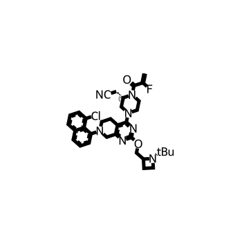 C=C(F)C(=O)N1CCN(c2nc(OCC3CCN3C(C)(C)C)nc3c2CCN(c2cccc4cccc(Cl)c24)C3)C[C@@H]1CC#N